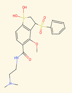 COc1c(C(=O)NCCN(C)C)ccc2c1C(S(=O)(=O)c1ccccc1)CS2(O)O